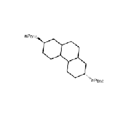 CCCCC[C@@H]1CCC2C(CCC3C[C@H](CCCCC)CCC32)C1